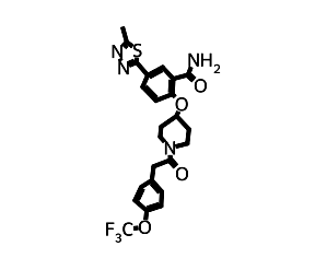 Cc1nnc(-c2ccc(OC3CCN(C(=O)Cc4ccc(OC(F)(F)F)cc4)CC3)c(C(N)=O)c2)s1